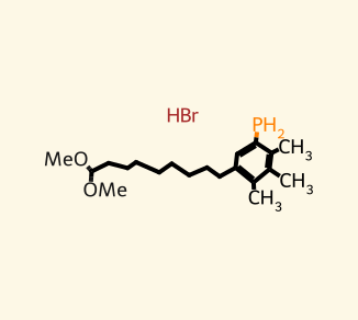 Br.COC(CCCCCCCCc1cc(P)c(C)c(C)c1C)OC